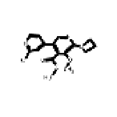 COC(=O)c1c(-c2ccnc(Cl)c2)cnc(N2CCC2)c1OC